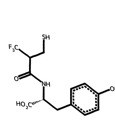 O=C(N[C@H](Cc1ccc(O)cc1)C(=O)O)C(CS)C(F)(F)F